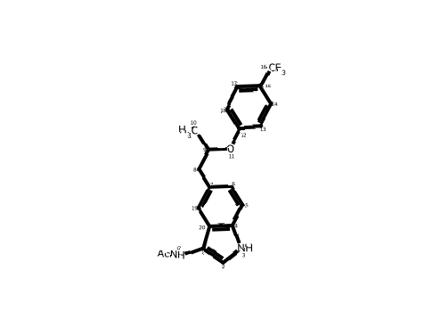 CC(=O)Nc1c[nH]c2ccc(CC(C)Oc3ccc(C(F)(F)F)cc3)cc12